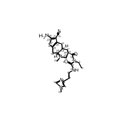 CCN(C(=O)NCCc1cn(C)cn1)C(=O)[C@@H]1C[C@@H]2Cc3c(sc(N)c3C#N)C[C@H]2N(C)C1